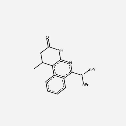 CCCN(CCC)c1nc2c(c3ccccc13)C(C)CC(=O)N2